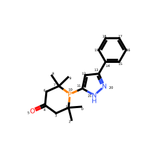 CC1(C)CC(=O)CC(C)(C)P1c1cc(-c2ccccc2)n[nH]1